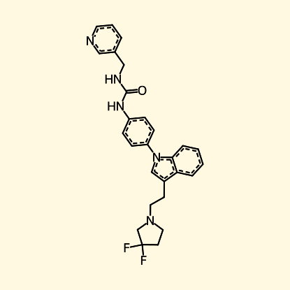 O=C(NCc1cccnc1)Nc1ccc(-n2cc(CCN3CCC(F)(F)C3)c3ccccc32)cc1